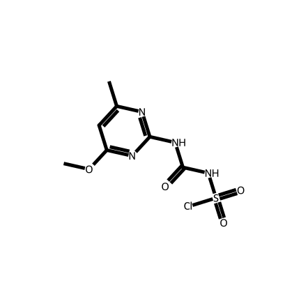 COc1cc(C)nc(NC(=O)NS(=O)(=O)Cl)n1